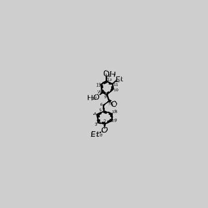 CCOc1ccc(CC(=O)c2cc(CC)c(O)cc2O)cc1